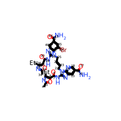 CCc1nc(C)oc1C(=O)Nc1nc2cc(C(N)=O)cnc2n1CC=CCn1c(NC(=O)c2oc(C)nc2CC)nc2cc(C(N)=O)cc(Br)c21